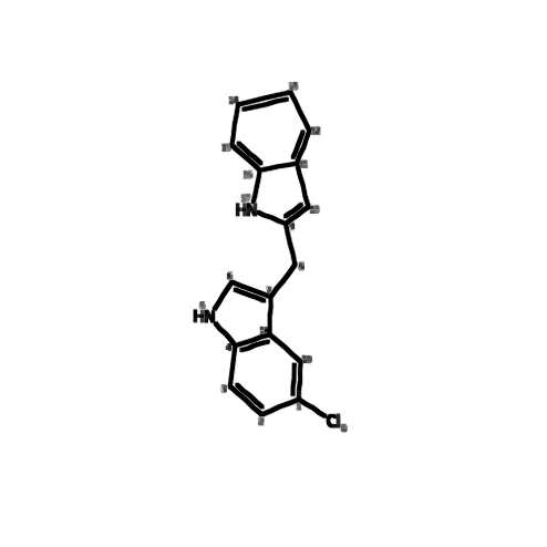 Clc1ccc2[nH]cc(Cc3cc4ccccc4[nH]3)c2c1